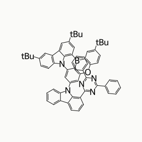 CC(C)(C)c1ccc2c(c1)B1c3c(cc(-n4c5ccccc5c5cccc(-c6nc(-c7ccccc7)nc(-c7ccccc7)n6)c54)cc3-n3c4ccc(C(C)(C)C)cc4c4cc(C(C)(C)C)cc1c43)O2